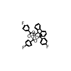 O=C([O][Ti]([O]C(=O)c1ccc(F)cc1)([O]C(=O)c1ccc(F)cc1)[CH]1c2ccccc2-c2ccccc21)c1ccc(F)cc1